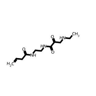 C=CCC(=O)NCCNC(=O)C(=O)CNCC